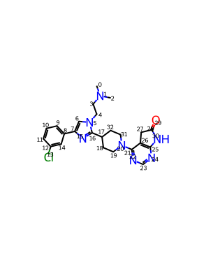 CN(C)CCn1cc(-c2cccc(Cl)c2)nc1C1CCN(c2ncnc3c2CC(=O)N3)CC1